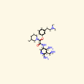 C[C@H]1CC[C@H](c2ccc(CCN(C)C)cc2)N(C(=O)C(=O)Nc2cnc(N)c(C=N)c2N)C1